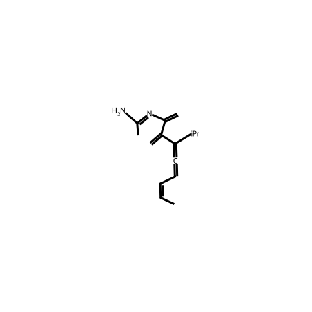 C=C(/N=C(\C)N)C(=C)C(=C=C/C=C\C)C(C)C